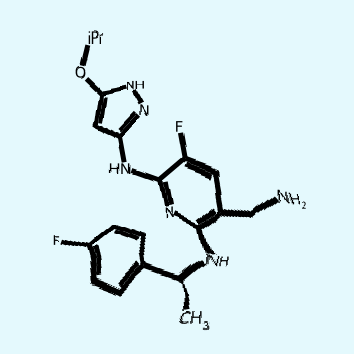 CC(C)Oc1cc(Nc2nc(N[C@@H](C)c3ccc(F)cc3)c(CN)cc2F)n[nH]1